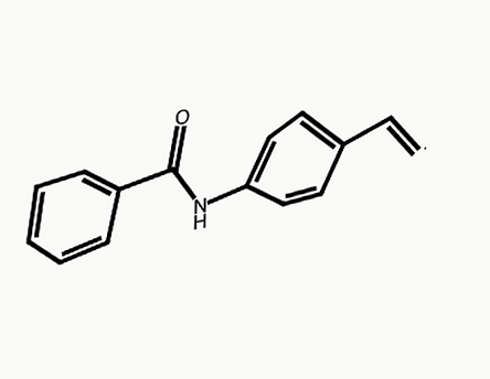 [CH]=Cc1ccc(NC(=O)c2ccccc2)cc1